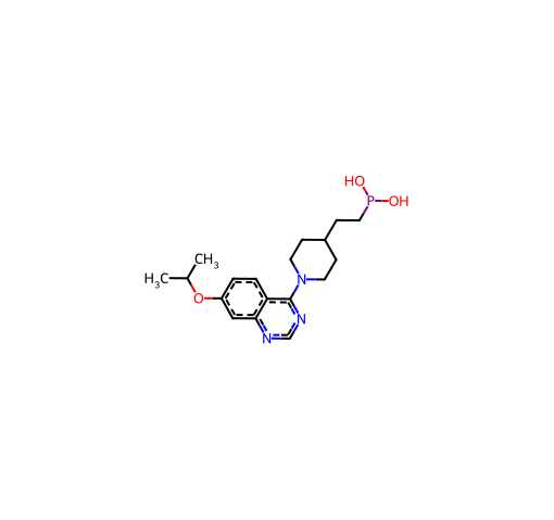 CC(C)Oc1ccc2c(N3CCC(CCP(O)O)CC3)ncnc2c1